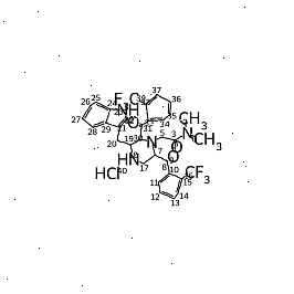 CN(C)C(=O)CN1C(C(=O)c2ccccc2C(F)(F)F)CNC(Cc2c[nH]c3ccccc23)C1C(=O)c1ccccc1C(F)(F)F.Cl